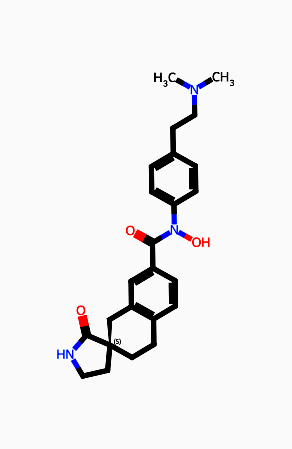 CN(C)CCc1ccc(N(O)C(=O)c2ccc3c(c2)C[C@]2(CCNC2=O)CC3)cc1